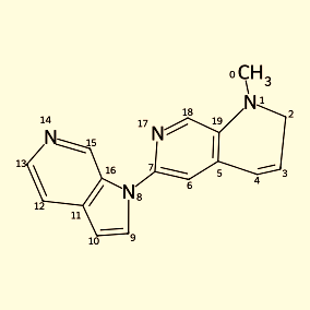 CN1CC=Cc2cc(-n3ccc4ccncc43)ncc21